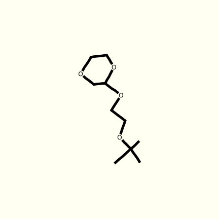 CC(C)(C)OCCOC1COCCO1